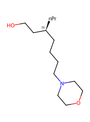 CCC[C@H](CCO)CCCCN1CCOCC1